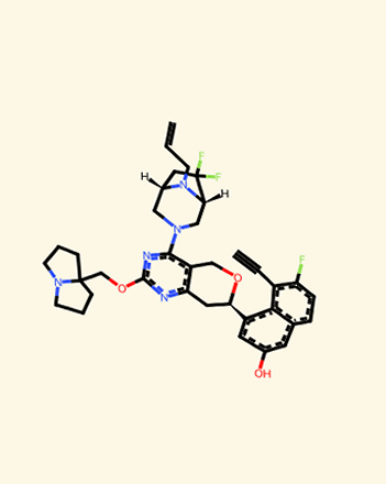 C#Cc1c(F)ccc2cc(O)cc([C@H]3Cc4nc(OCC56CCCN5CCC6)nc(N5C[C@@H]6CC(F)(F)[C@H](C5)N6CC=C)c4CO3)c12